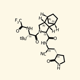 CC(C)(C)[C@H](NC(=O)C(F)(F)F)C(=O)N1C[C@@H]2[C@@H]3CC[C@@H](C3)[C@@H]2[C@H]1C(=O)N[C@H](C#N)C[C@@H]1CCNC1=O